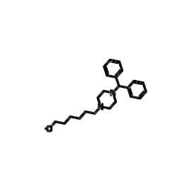 [O]CCCCCCN1CCN(C(c2ccccc2)c2ccccc2)CC1